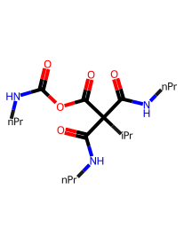 CCCNC(=O)OC(=O)C(C(=O)NCCC)(C(=O)NCCC)C(C)C